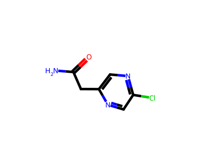 NC(=O)Cc1cnc(Cl)cn1